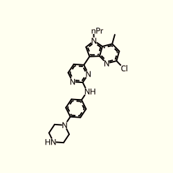 CCCn1cc(-c2ccnc(Nc3ccc(N4CCNCC4)cc3)n2)c2nc(Cl)cc(C)c21